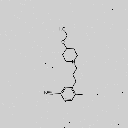 CCOC1CCN(CCCc2cc(C#N)ccc2I)CC1